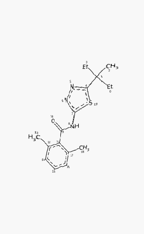 CCC(C)(CC)c1nnc(NC(=O)c2c(C)cccc2C)s1